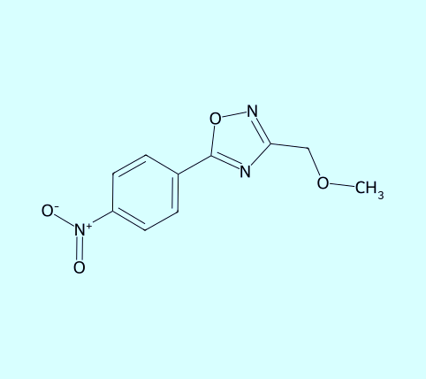 COCc1noc(-c2ccc([N+](=O)[O-])cc2)n1